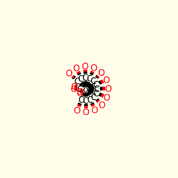 O=[C]=[Co](=[O])(=[O])(=[O])(=[O])(=[C]=O)(=[C]=O)(=[C]=O)(=[C]=O)(=[C]=O)(=[C]=O)(=[C]=O)(=[C]=O)(=[C]=O)(=[C]=O)=[C]=O